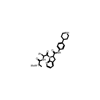 CN[C@@H](C)C(=O)NC(C(=O)N1c2ncccc2CC1C(=O)Nc1ccc(C2CCNCC2)cc1)C(C)C